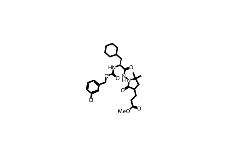 COC(=O)CCC1CC(C)(C)N(NC(=O)[C@H](CC2CCCCC2)NC(=O)OCc2cccc(Cl)c2)C1=O